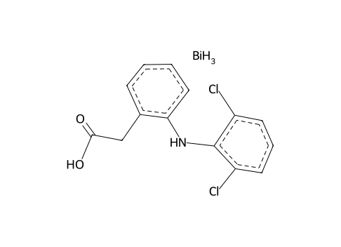 O=C(O)Cc1ccccc1Nc1c(Cl)cccc1Cl.[BiH3]